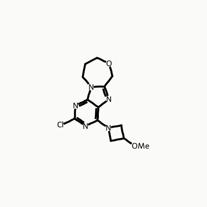 COC1CN(c2nc(Cl)nc3c2nc2n3CCCOC2)C1